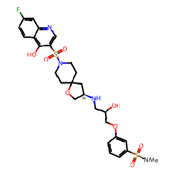 CNS(=O)(=O)c1cccc(OCC(O)CN[C@H]2COC3(CCN(S(=O)(=O)c4cnc5cc(F)ccc5c4O)CC3)C2)c1